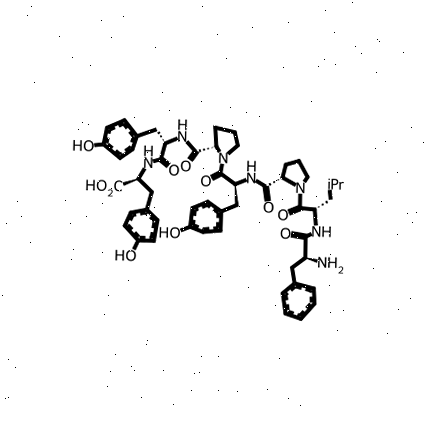 CC(C)C[C@H](NC(=O)[C@@H](N)Cc1ccccc1)C(=O)N1CCC[C@H]1C(=O)N[C@@H](Cc1ccc(O)cc1)C(=O)N1CCC[C@H]1C(=O)N[C@@H](Cc1ccc(O)cc1)C(=O)N[C@@H](Cc1ccc(O)cc1)C(=O)O